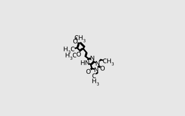 CCn1c(=O)c2[nH]c(C=Cc3ccc(OC)c(C)c3OC)nc2n(CC)c1=O